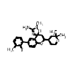 Cc1cccc(-c2ccc3c(c2)C2(CC(C4CCOC(C)(C)C4)O3)N=C(N)N(C)O2)c1F